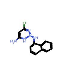 NC1=CC(Cl)=NN(Nc2cccc3ccccc23)N1